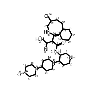 NC(N)C(C(=O)NC1CNCCC1N1CCC(N2CC[S+]([O-])CC2)CC1)/C1=C2\CCCCC2CCC(Cl)CN1